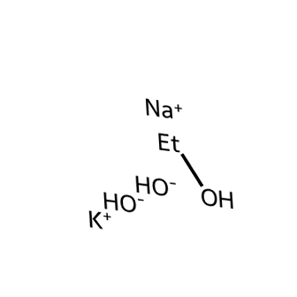 CCO.[K+].[Na+].[OH-].[OH-]